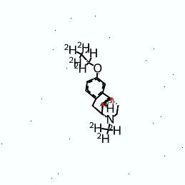 [2H]C([2H])([2H])N1CC[C@@]23CCCC[C@H]2C1Cc1ccc(OC([2H])([2H])C([2H])([2H])[2H])cc13